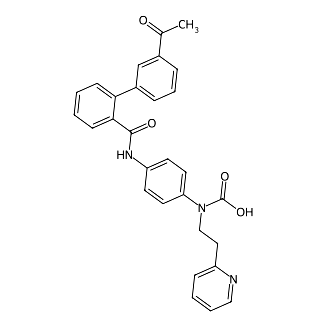 CC(=O)c1cccc(-c2ccccc2C(=O)Nc2ccc(N(CCc3ccccn3)C(=O)O)cc2)c1